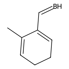 B=CC1=CCCC=C1C